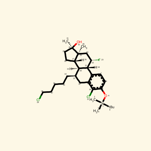 CC(C)(C)[Si](C)(C)Oc1ccc2c(c1Cl)C[C@@H](CCCCCCl)[C@@H]1[C@@H]2[C@@H](F)C[C@@]2(C)[C@H]1CC[C@@]2(C)O